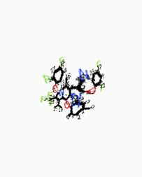 Cc1cc(C)c(O/C(=C2/N=C(Oc3ccc(F)cc3F)C(C(F)(F)F)=C2C(C)C)c2[nH]c(Oc3ccc(F)cc3F)c(C#N)c2C(C)C)c(C)c1